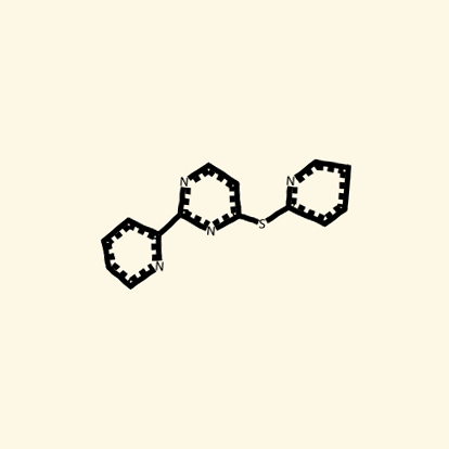 c1ccc(Sc2ccnc(-c3ccccn3)n2)nc1